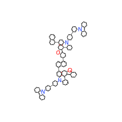 c1cc(-c2ccc(N(c3ccc(-c4cccc5ccccc45)cc3)c3ccccc3-c3cccc4oc5cc(-c6cccc7c(-c8ccc(N(c9ccc(-c%10ccc(-n%11c%12ccccc%12c%12ccccc%12%11)cc%10)cc9)c9ccccc9-c9cccc%10oc%11ccccc%11c9%10)cc8)cccc67)ccc5c34)cc2)cc(-n2c3ccccc3c3ccccc32)c1